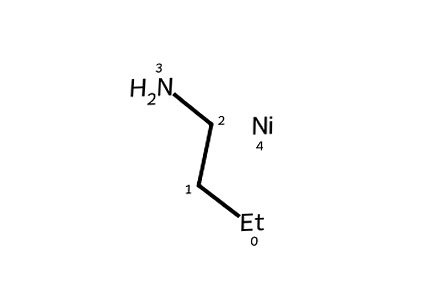 CCCCN.[Ni]